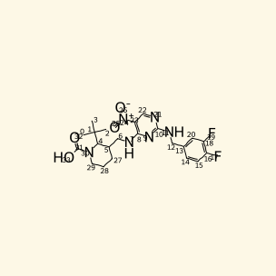 CC(C)(C)C1C(CNc2nc(NCc3ccc(F)c(F)c3)ncc2[N+](=O)[O-])CCCN1C(=O)O